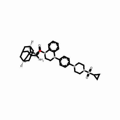 NC(=O)C12CC3C[C@H](C1)C(NC(=O)N1CCN(c4ccc(N5CCN(S(=O)(=O)C6CC6)CC5)cc4)c4ccccc41)[C@@H](C3)C2